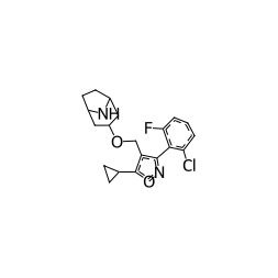 Fc1cccc(Cl)c1-c1noc(C2CC2)c1COC1CC2CCC(C1)N2